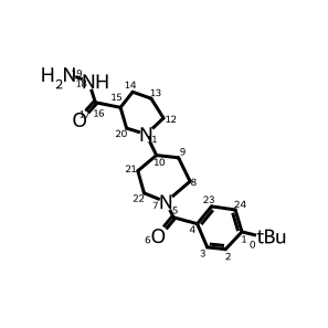 CC(C)(C)c1ccc(C(=O)N2CCC(N3CCCC(C(=O)NN)C3)CC2)cc1